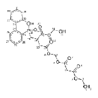 CCOC(=O)CC(=O)OCOC(=O)CC(CP1(=O)Oc2ccccc2-c2ccccc21)C(=O)OCO